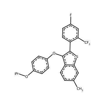 Cc1ccc2c(Oc3ccc(OC(C)C)cc3)c(-c3ccc(F)cc3C(F)(F)F)sc2c1